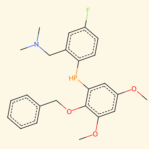 COc1cc(OC)c(OCc2ccccc2)c(Pc2ccc(F)cc2CN(C)C)c1